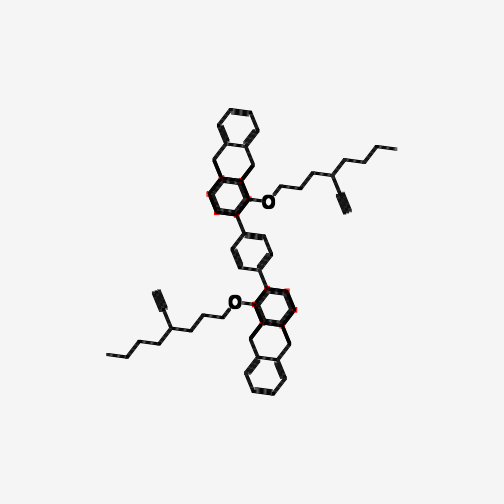 C#CC(CCCC)CCCOc1c(-c2ccc(-c3ccc4c(c3OCCCC(C#C)CCCC)C3c5ccccc5C4c4ccccc43)cc2)ccc2c1C1c3ccccc3C2c2ccccc21